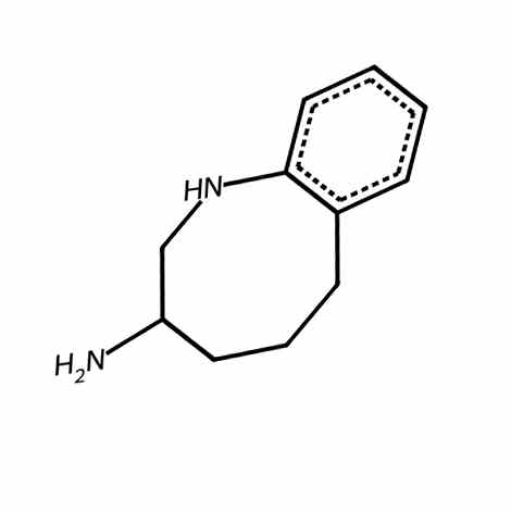 NC1CCCc2ccccc2NC1